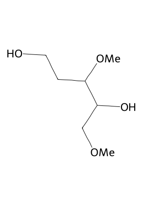 COCC(O)C(CCO)OC